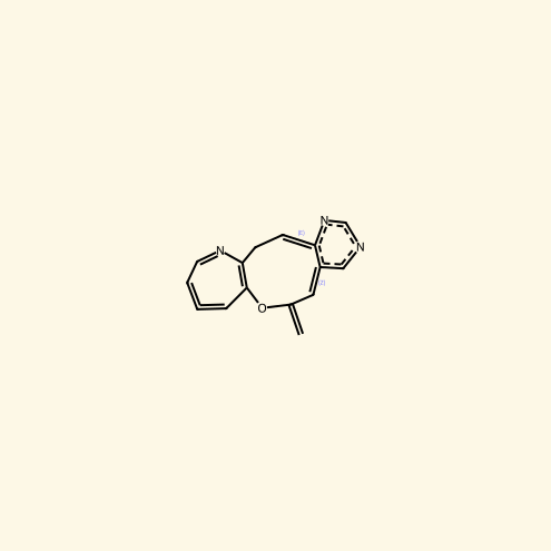 C=C1/C=c2/cncn/c2=C/CC2=C(C=C=CC=N2)O1